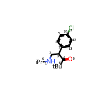 CC(C)NCC(C(=O)C(C)(C)C)c1ccc(Cl)cc1